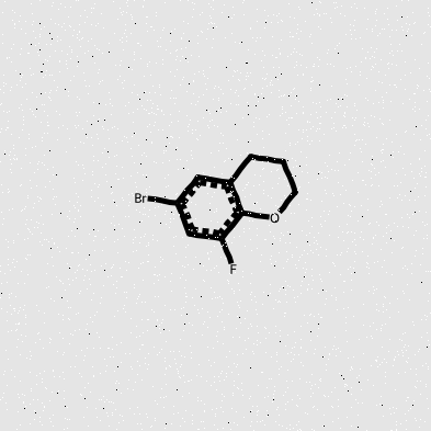 Fc1cc(Br)cc2c1OCCC2